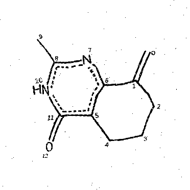 C=C1CCCc2c1nc(C)[nH]c2=O